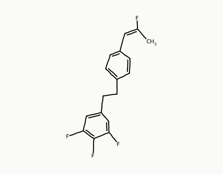 C/C(F)=C\c1ccc(CCc2cc(F)c(F)c(F)c2)cc1